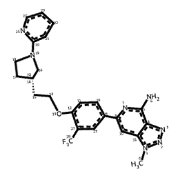 Cn1nnc2c(N)nc(-c3ccc(OCC[C@@H]4CCN(c5ccccn5)C4)c(C(F)(F)F)c3)cc21